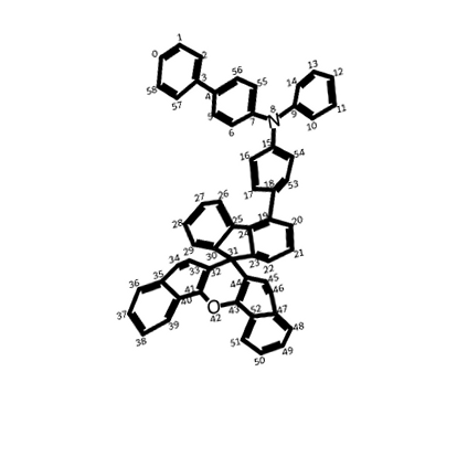 c1ccc(-c2ccc(N(c3ccccc3)c3ccc(-c4cccc5c4-c4ccccc4C54c5ccc6ccccc6c5Oc5c4ccc4ccccc54)cc3)cc2)cc1